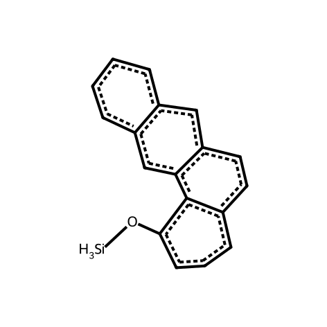 [SiH3]Oc1cccc2ccc3cc4ccccc4cc3c12